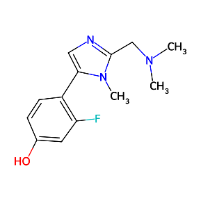 CN(C)Cc1ncc(-c2ccc(O)cc2F)n1C